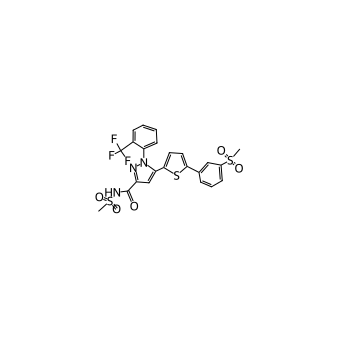 CS(=O)(=O)NC(=O)c1cc(-c2ccc(-c3cccc(S(C)(=O)=O)c3)s2)n(-c2ccccc2C(F)(F)F)n1